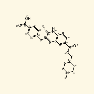 CN1CCN(COC(=O)c2ccc3[nH]c(=O)c(Cc4ccc(C(=O)O)cc4)cc3c2)CC1